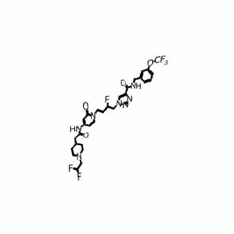 O=C(CC1CCN(CC(F)F)CC1)Nc1ccn(CCC(F)Cn2cc(C(=O)NCc3cccc(OC(F)(F)F)c3)nn2)c(=O)c1